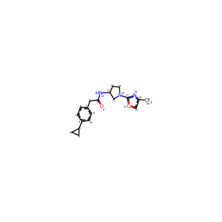 O=C(Cc1ccc(C2CC2)cc1)NC1CCN(c2nc(C(F)(F)F)co2)C1